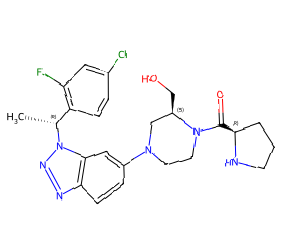 C[C@H](c1ccc(Cl)cc1F)n1nnc2ccc(N3CCN(C(=O)[C@H]4CCCN4)[C@H](CO)C3)cc21